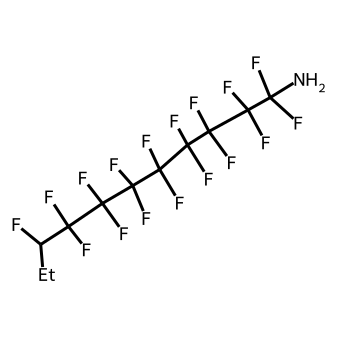 CCC(F)C(F)(F)C(F)(F)C(F)(F)C(F)(F)C(F)(F)C(F)(F)C(F)(F)C(N)(F)F